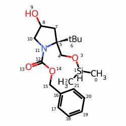 C[SiH](C)OC[C@@]1(C(C)(C)C)CC(O)CN1C(=O)OCc1ccccc1